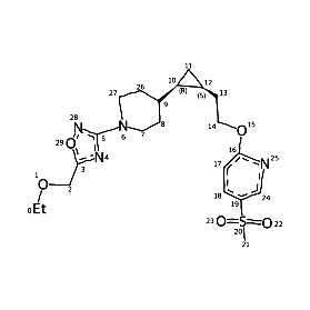 CCOCc1nc(N2CCC([C@H]3C[C@H]3CCOc3ccc(S(C)(=O)=O)cn3)CC2)no1